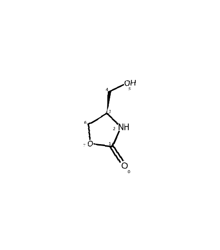 O=C1N[C@H](CO)CO1